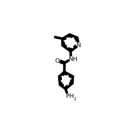 Cc1ccnc(NC(=O)c2ccc(P)cc2)c1